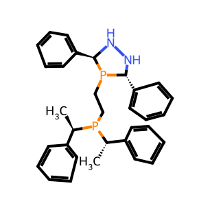 C[C@H](c1ccccc1)P(CCP1[C@@H](c2ccccc2)NN[C@@H]1c1ccccc1)[C@@H](C)c1ccccc1